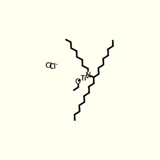 CCCCCCCCCC(CCCCCCCC)[N](CCCCCCCC)[Ti+2][O]CC.[Cl-].[Cl-]